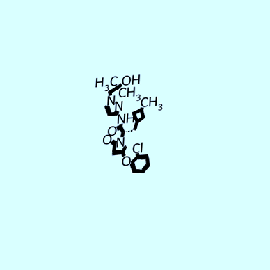 CC1CC(C[C@@H](C(=O)Nc2ccn(CC(C)(C)O)n2)N2CC(Oc3ccccc3Cl)=CC2=O)C1